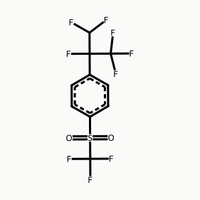 O=S(=O)(c1ccc(C(F)(C(F)F)C(F)(F)F)cc1)C(F)(F)F